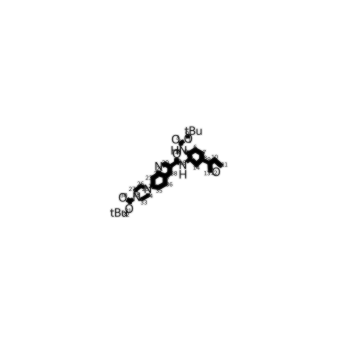 CC(C)(C)OC(=O)Nc1ccc(-c2ccoc2)cc1NC(=O)c1cnc2cc(N3CCN(C(=O)OC(C)(C)C)CC3)ccc2c1